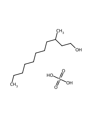 CCCCCCCCC(C)CCO.O=S(=O)(O)O